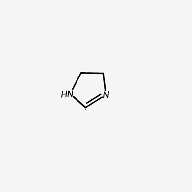 [C]1=NCCN1